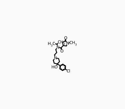 CC(C)N(CCCN1CCC(O)(c2ccc(Cl)cc2)CC1)C(=O)C1CC(=O)N(C)C1